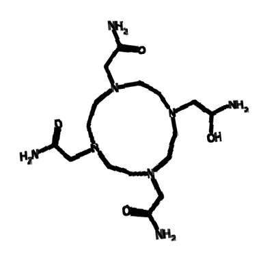 NC(=O)CN1CCN(CC(N)=O)CCN(CC(N)O)CCN(CC(N)=O)CC1